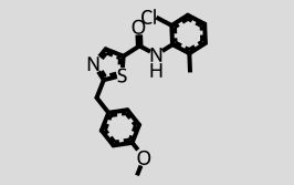 COc1ccc(Cc2ncc(C(=O)Nc3c(C)cccc3Cl)s2)cc1